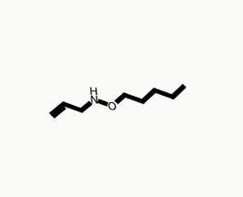 C=CCNOCCCCC